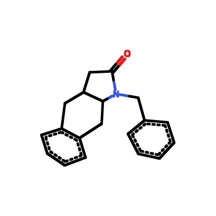 O=C1CC2Cc3ccccc3CC2N1Cc1ccccc1